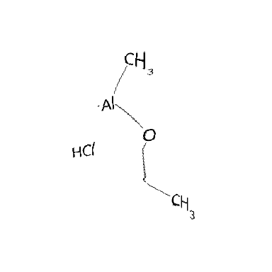 CC[O][Al][CH3].Cl